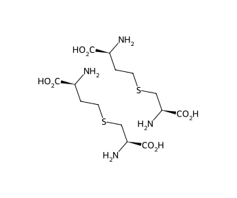 N[C@@H](CCSC[C@H](N)C(=O)O)C(=O)O.N[C@@H](CCSC[C@H](N)C(=O)O)C(=O)O